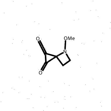 CON1CCC12C(=O)C2=O